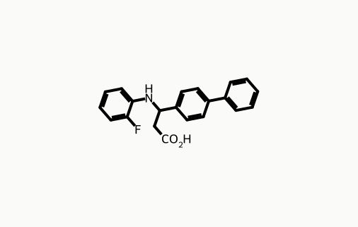 O=C(O)CC(Nc1ccccc1F)c1ccc(-c2ccccc2)cc1